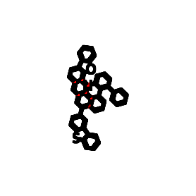 c1ccc(-c2ccccc2-c2c(-c3ccccc3)cccc2N(c2ccc(-c3ccc4sc5ccccc5c4c3)cc2)c2cccc3c2oc2ccccc23)cc1